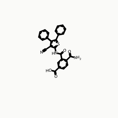 N#Cc1c(NC(=O)c2cc(C(=O)O)ccc2C(N)=O)sc(-c2ccccc2)c1-c1ccccc1